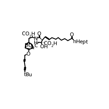 CCCCCCCC(=O)CCCCCC/C=C/[C@H](C(=O)N[C@@H](Cc1ccc(OCC#CC#CC(C)(C)C)cc1)C(=O)O)[C@@](O)(CC(=O)O)C(=O)O